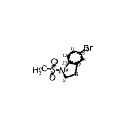 CS(=O)(=O)N1CCc2cc(Br)ccc21